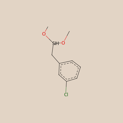 CO[SiH](Cc1cccc(Cl)c1)OC